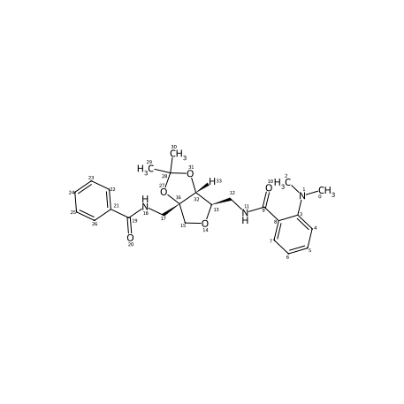 CN(C)c1ccccc1C(=O)NC[C@H]1OC[C@]2(CNC(=O)c3ccccc3)OC(C)(C)O[C@H]12